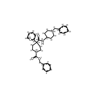 O=C(OCc1ccccc1)N1CCC(C(=O)NC2CCN(Cc3ccccc3)CC2)(c2ccccc2)CC1